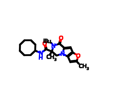 CCC(C)N1C(=O)c2cc3oc(C)cc3n2CC1(C)C(=O)NC1CCCCCCC1